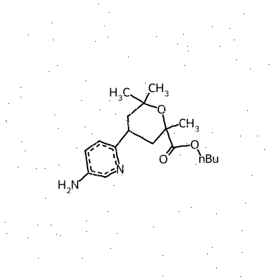 CCCCOC(=O)C1(C)CC(c2ccc(N)cn2)CC(C)(C)O1